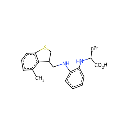 CCC[C@H](Nc1ccccc1NCC1CSc2cccc(C)c21)C(=O)O